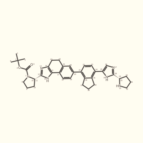 CC(C)(C)OC(=O)N1CCC[C@H]1c1nc2c([nH]1)-c1ccc(-c3ccc(-c4cnc([C@@H]5CCCN5)[nH]4)c4c3CCC4)cc1CC2